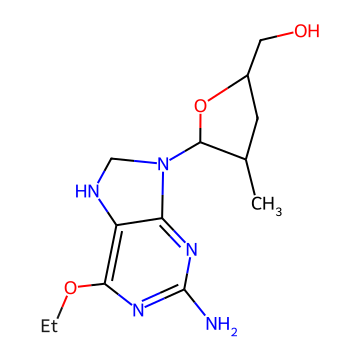 CCOc1nc(N)nc2c1NCN2C1OC(CO)CC1C